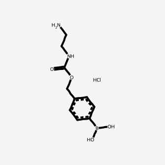 Cl.NCCNC(=O)OCc1ccc(B(O)O)cc1